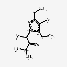 CCc1nn(C(C)C(=O)N(C)C)c(CC)c1Br